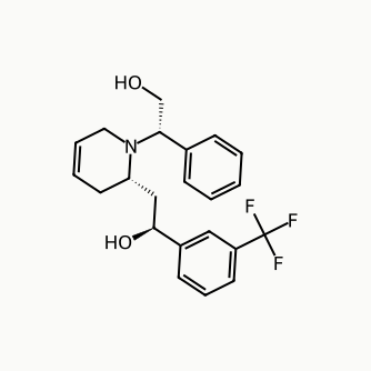 OC[C@H](c1ccccc1)N1CC=CC[C@H]1C[C@H](O)c1cccc(C(F)(F)F)c1